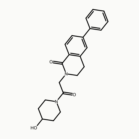 O=C(CN1CCc2cc(-c3ccccc3)ccc2C1=O)N1CCC(O)CC1